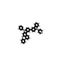 c1ccc(-n2c3ccc(-c4ccc5c(c4)c4ccccc4n5-c4ccncc4)cc3c3c4cccc5c4c(cc32)Sc2ccccc2-5)cc1